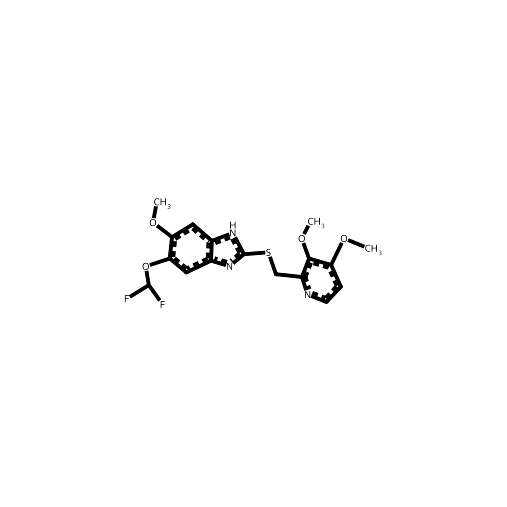 COc1cc2[nH]c(SCc3nccc(OC)c3OC)nc2cc1OC(F)F